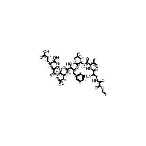 CCOC(=O)C(=O)NC[C@H](N)C(=O)N[C@H](C(=O)N[C@@H](CC(C)C)C(=O)N[C@@H](Cc1ccccc1)[C@@H](O)C(=O)N[C@@H](CC(=O)O)C(=O)N[C@@H](C)C(=O)N[C@@H](CCC(=O)O)C(=O)O)C(C)C